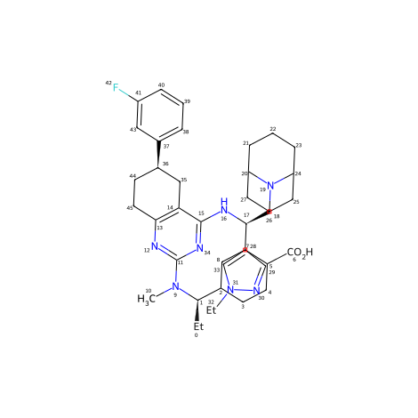 CC[C@H](C1CCC(C(=O)O)CC1)N(C)c1nc2c(c(N[C@@H](CN3C4CCCC3CCC4)c3cnn(CC)c3)n1)C[C@H](c1cccc(F)c1)CC2